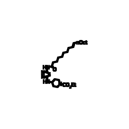 CCCCCCCCC=CCCCCCCCC(=O)Nc1nnc(NC2CCN(C(=O)OCC)CC2)s1